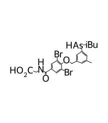 CCC(C)[AsH]c1cc(C)cc(COc2c(Br)cc(C(=O)NCC(=O)O)cc2Br)c1